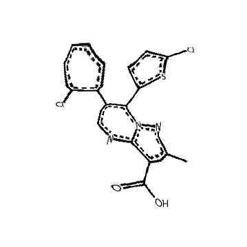 Cc1nn2c(-c3ccc(Cl)s3)c(-c3ccccc3Cl)cnc2c1C(=O)O